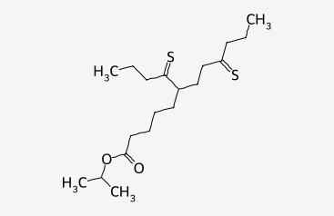 CCCC(=S)CCC(CCCCC(=O)OC(C)C)C(=S)CCC